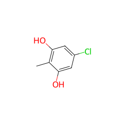 Cc1c(O)cc(Cl)cc1O